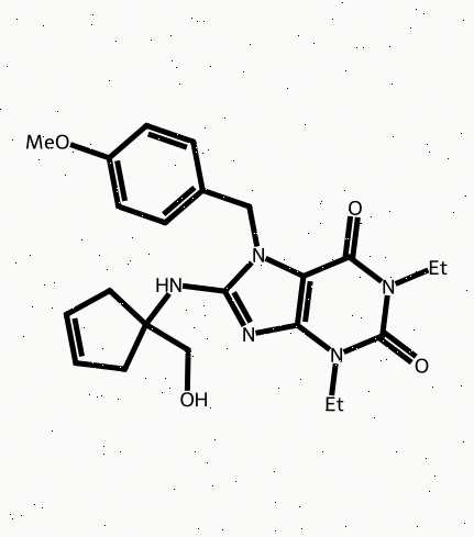 CCn1c(=O)c2c(nc(NC3(CO)CC=CC3)n2Cc2ccc(OC)cc2)n(CC)c1=O